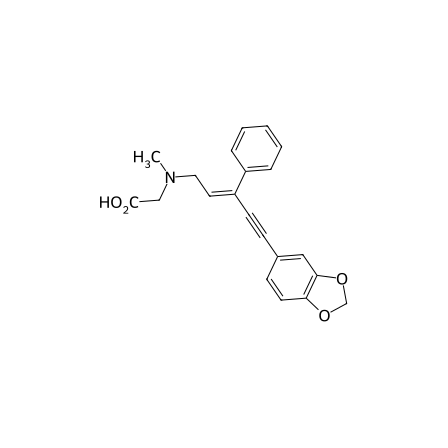 CN(C/C=C(/C#Cc1ccc2c(c1)OCO2)c1ccccc1)CC(=O)O